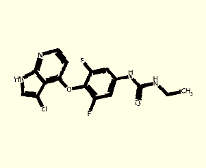 CCNC(=O)Nc1cc(F)c(Oc2ccnc3[nH]cc(Cl)c23)c(F)c1